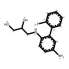 Nc1ccc(NCC(O)CO)c(-c2ccccc2F)c1